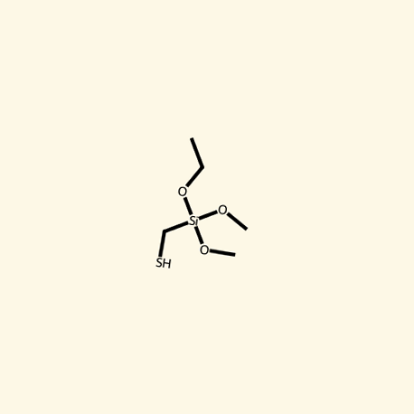 CCO[Si](CS)(OC)OC